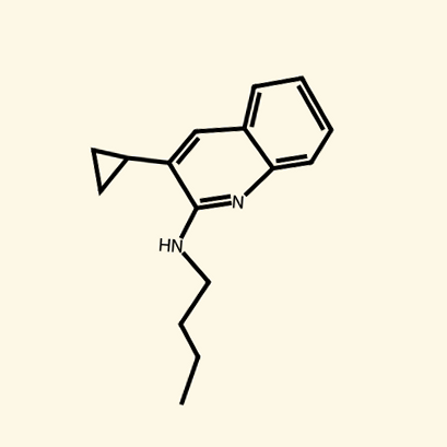 CCCCNc1nc2ccccc2cc1C1CC1